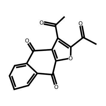 CC(=O)c1oc2c(c1C(C)=O)C(=O)c1ccccc1C2=O